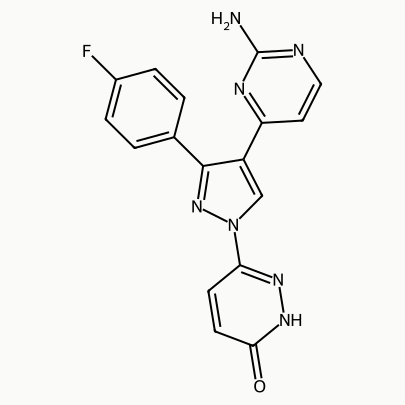 Nc1nccc(-c2cn(-c3ccc(=O)[nH]n3)nc2-c2ccc(F)cc2)n1